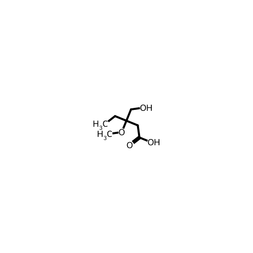 CCC(CO)(CC(=O)O)OC